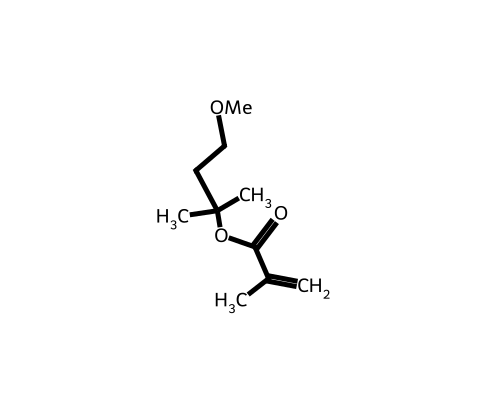 C=C(C)C(=O)OC(C)(C)CCOC